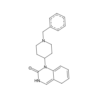 O=C1NC=C2CC=CC=C2N1C1CCN(Cc2ccccc2)CC1